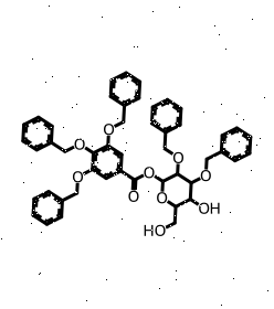 O=C(OC1OC(CO)C(O)C(OCc2ccccc2)C1OCc1ccccc1)c1cc(OCc2ccccc2)c(OCc2ccccc2)c(OCc2ccccc2)c1